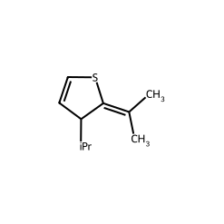 CC(C)=C1SC=CC1C(C)C